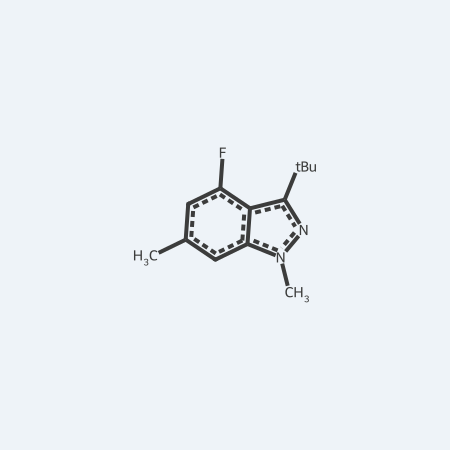 Cc1cc(F)c2c(C(C)(C)C)nn(C)c2c1